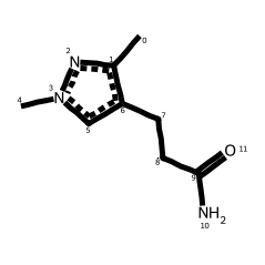 Cc1nn(C)cc1C[CH]C(N)=O